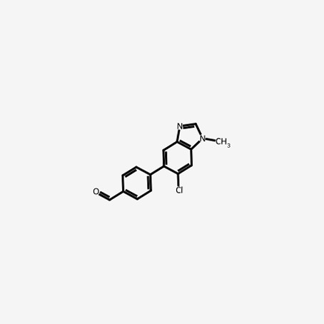 Cn1cnc2cc(-c3ccc(C=O)cc3)c(Cl)cc21